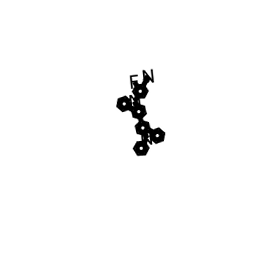 N#Cc1ccc(-n2c3ccccc3c3cc(-c4ccc5c(c4)c4ccccc4n5-c4ccccc4)ccc32)cc1F